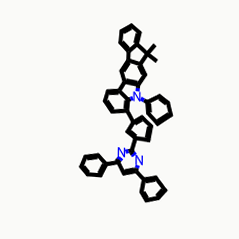 CC1(C)c2ccccc2-c2cc3c4cccc(-c5cccc(-c6nc(-c7ccccc7)cc(-c7ccccc7)n6)c5)c4n(-c4ccccc4)c3cc21